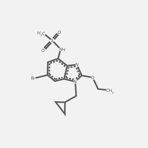 CCOc1nc2c(NS(C)(=O)=O)cc(Br)cc2n1CC1CC1